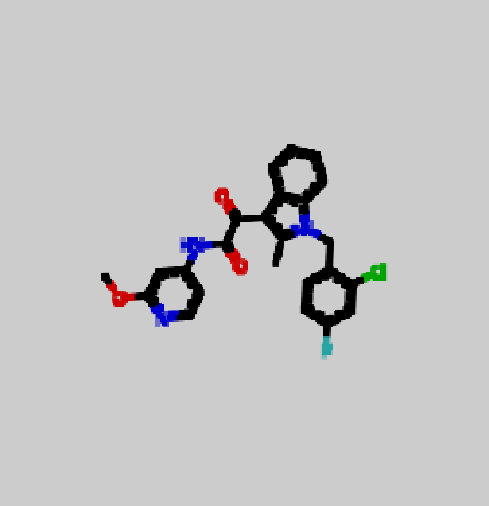 COc1cc(NC(=O)C(=O)c2c(C)n(Cc3ccc(F)cc3Cl)c3ccccc23)ccn1